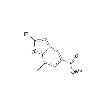 COC(=O)c1cc(I)c2oc(C(C)C)cc2c1